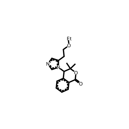 CCOCCc1cncn1C1c2ccccc2C(=O)OC1(C)C